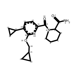 NC(=O)C1CCCCN1C(=O)c1ccc(C2CC2)c(OCC2CC2)n1